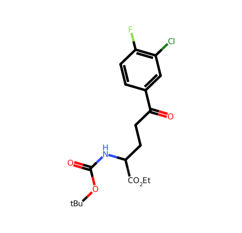 CCOC(=O)C(CCC(=O)c1ccc(F)c(Cl)c1)NC(=O)OC(C)(C)C